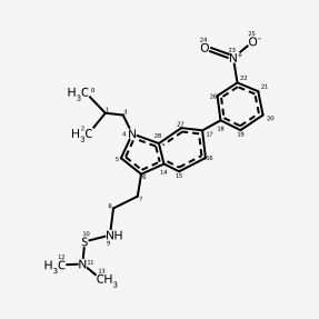 CC(C)Cn1cc(CCNSN(C)C)c2ccc(-c3cccc([N+](=O)[O-])c3)cc21